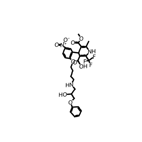 COC(=O)C1=C(C)NC(C(F)(F)F)=C(C(=O)O)C1c1cc([N+](=O)[O-])ccc1OCCCCNCC(O)COc1ccccc1